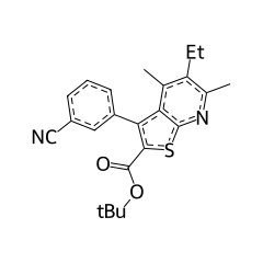 CCc1c(C)nc2sc(C(=O)OC(C)(C)C)c(-c3cccc(C#N)c3)c2c1C